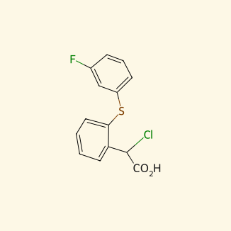 O=C(O)C(Cl)c1ccccc1Sc1cccc(F)c1